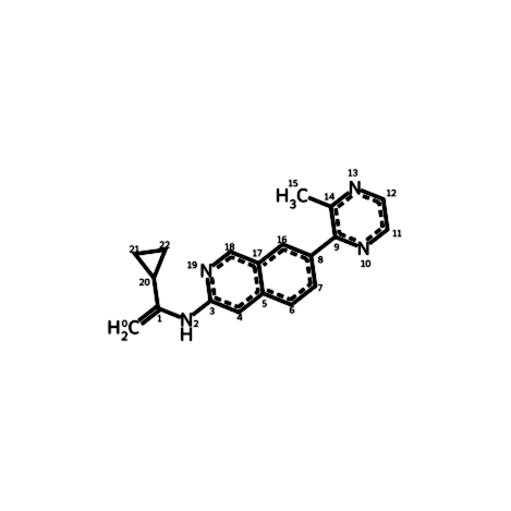 C=C(Nc1cc2ccc(-c3nccnc3C)cc2cn1)C1CC1